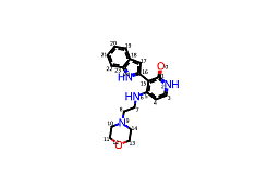 O=c1[nH]ccc(NCCN2CCOCC2)c1-c1cc2ccccc2[nH]1